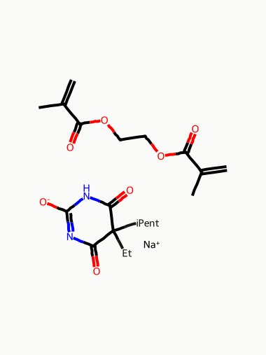 C=C(C)C(=O)OCCOC(=O)C(=C)C.CCCC(C)C1(CC)C(=O)N=C([O-])NC1=O.[Na+]